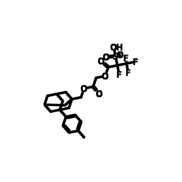 Cc1ccc(C23CC4CC(CC(COC(=O)COC(=O)C(F)(C(F)(F)F)S(=O)(=O)O)(C4)C2)C3)cc1